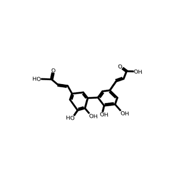 O=C(O)/C=C/c1cc(O)c(O)c(-c2cc(/C=C/C(=O)O)cc(O)c2O)c1